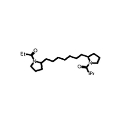 CCC(=O)N1CCCC1CCCCCCCC1CCCN1C(=O)C(C)C